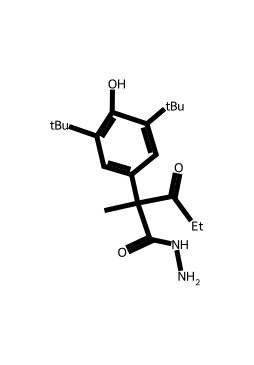 CCC(=O)C(C)(C(=O)NN)c1cc(C(C)(C)C)c(O)c(C(C)(C)C)c1